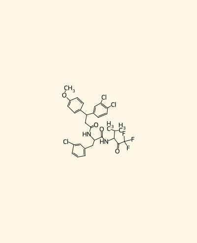 COc1ccc(C(CC(=O)NC(Cc2cccc(Cl)c2)C(=O)NC(C(=O)C(F)(F)F)C(C)C)c2ccc(Cl)c(Cl)c2)cc1